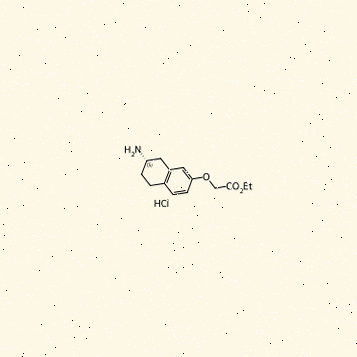 CCOC(=O)COc1ccc2c(c1)C[C@@H](N)CC2.Cl